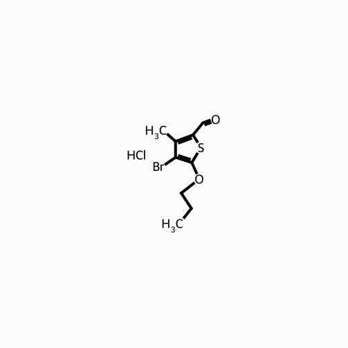 CCCOc1sc(C=O)c(C)c1Br.Cl